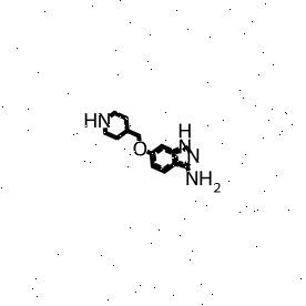 Nc1n[nH]c2cc(OCC3CCNCC3)ccc12